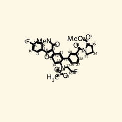 CNC(=O)c1c(-c2ccc(F)cc2)oc2cc(N(CCF)S(C)(=O)=O)c(-c3cccc(C(=O)N4CCC[C@H]4C(=O)OC)c3)cc12